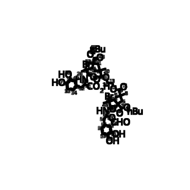 CCCCOC(=O)C(C)(CC(C)(C)C(=O)OCCOC(=O)C(C)(C)CC(C)(CC(C)(Br)C(=O)NC(Cc1ccc(O)c(O)c1)C(=O)O)C(=O)OCCCC)CC(C)(Br)C(=O)NC(Cc1ccc(O)c(O)c1)OC=O